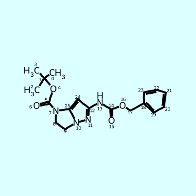 CC(C)(C)OC(=O)N1CCn2nc(NC(=O)OCc3ccccc3)cc21